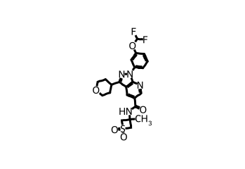 CC1(NC(=O)c2cnc3c(c2)c(C2CCOCC2)nn3-c2cccc(OC(F)F)c2)CS(=O)(=O)C1